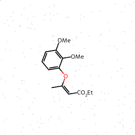 CCOC(=O)/C=C(/C)Oc1cccc(OC)c1OC